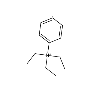 CC[N+](CC)(CC)c1cc[c]cc1